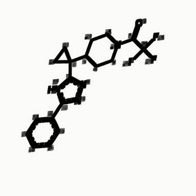 O=C(N1CCC(C2(c3nnc(-c4ccccc4)[nH]3)CC2)CC1)C(F)(F)F